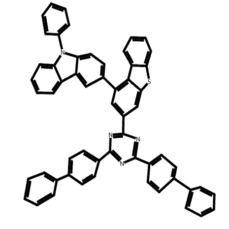 c1ccc(-c2ccc(-c3nc(-c4ccc(-c5ccccc5)cc4)nc(-c4cc(-c5ccc6c(c5)c5ccccc5n6-c5ccccc5)c5c(c4)sc4ccccc45)n3)cc2)cc1